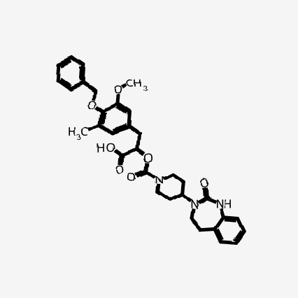 COc1cc(CC(OC(=O)N2CCC(N3CCc4ccccc4NC3=O)CC2)C(=O)O)cc(C)c1OCc1ccccc1